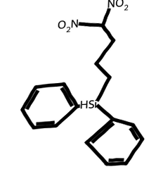 O=[N+]([O-])C(CCC[SiH](c1ccccc1)c1ccccc1)[N+](=O)[O-]